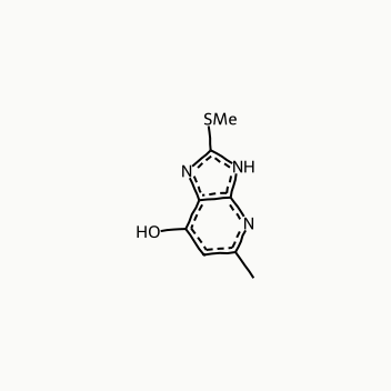 CSc1nc2c(O)cc(C)nc2[nH]1